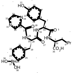 CC(C)C[C@H](NC(=O)[C@H](Cc1ccc(O)cc1)NC(=O)[C@H](Cc1ccccc1)NC(=O)c1cnccn1)C(=O)O.OBO